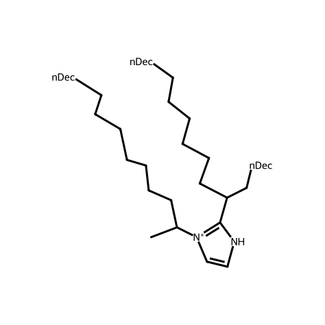 CCCCCCCCCCCCCCCCCC(C)[n+]1cc[nH]c1C(CCCCCCCCCCC)CCCCCCCCCCCCCCCC